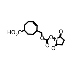 O=C(OCC1C=CCCC(C(=O)O)CC1)ON1C(=O)CCC1=O